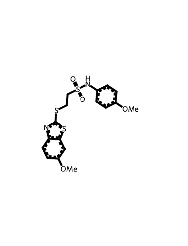 COc1ccc(NS(=O)(=O)CCSc2nc3ccc(OC)cc3s2)cc1